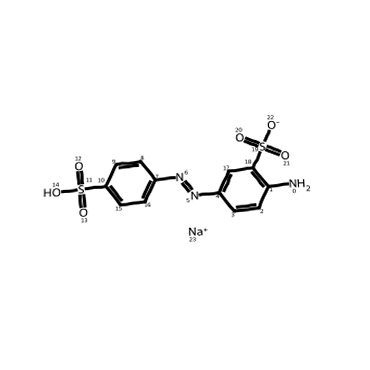 Nc1ccc(N=Nc2ccc(S(=O)(=O)O)cc2)cc1S(=O)(=O)[O-].[Na+]